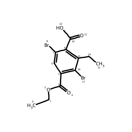 CCOC(=O)c1cc(Br)c(C(=O)O)c(CC)c1Br